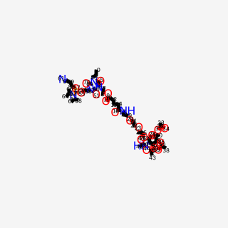 CCCn1c(=O)n(CCOC(=O)CCCC(=O)NCCOCCOCCOC2OC(COC(C)=O)C(OC(C)=O)C(OC(C)=O)C2NC(C)=O)c(=O)n(CCOP(OCCC#N)N(C(C)C)C(C)C)c1=O